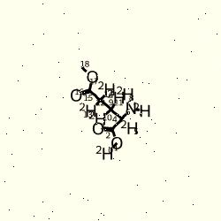 [2H]OC(=O)[C@@]([2H])(N([2H])[2H])C([2H])([2H])C([2H])([2H])C(=O)OC